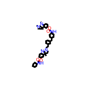 CN1CCC2(C)c3cc(OC(=O)Nc4ccc(Cc5cccc(CCN6CCC7(C)c8cc(OC(=O)Nc9ccccc9)ccc8N(C)C67)c5)cc4)ccc3N(C)C12